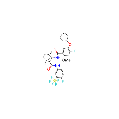 COc1cc(F)c(OC2CCCCC2)cc1C(=O)N[C@H]1[C@@H](C(=O)Nc2ccc(F)c(S(F)(F)(F)(F)F)c2)[C@@H]2C=C[C@H]1C2